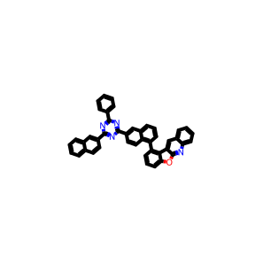 c1ccc(-c2nc(-c3ccc4ccccc4c3)nc(-c3ccc4c(-c5cccc6oc7nc8ccccc8cc7c56)cccc4c3)n2)cc1